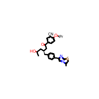 Cc1csc2nc(-c3ccc(C[C@H](CC(=O)c4ccc(OC(C)C)c(C#N)c4)CC(C)O)cc3)cn12